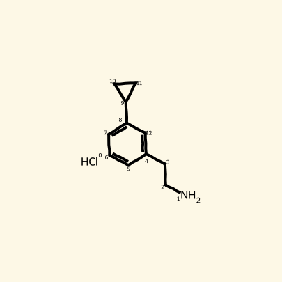 Cl.NCCc1cccc(C2CC2)c1